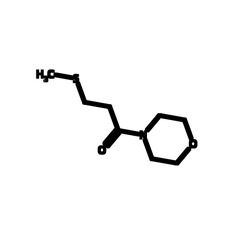 CSCCC(=O)N1CCOCC1